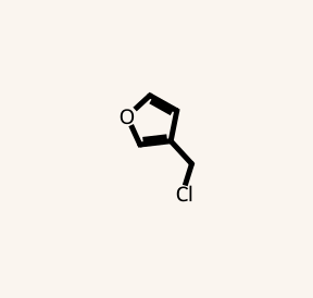 ClCc1ccoc1